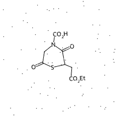 CCOC(=O)CC1SC(=O)CN(C(=O)O)C1=O